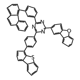 c1cc(-c2nc(-c3ccc(-c4cccc5c4sc4ccccc45)cc3)nc(-c3ccc4oc5ccccc5c4c3)n2)cc(-c2cccc3ccc4ccccc4c23)c1